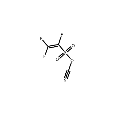 N#COS(=O)(=O)C(F)=C(F)F